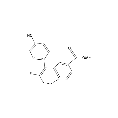 COC(=O)c1ccc2c(c1)C(c1ccc(C#N)cc1)=C(F)CC2